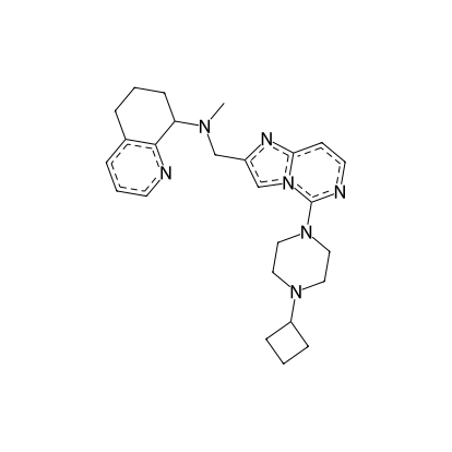 CN(Cc1cn2c(N3CCN(C4CCC4)CC3)nccc2n1)C1CCCc2cccnc21